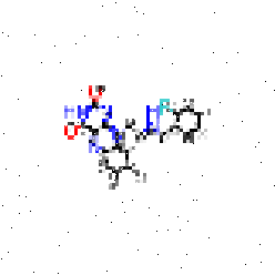 Cc1cc2nc3c(=O)[nH]c(=O)nc-3n(CCNCc3ccccc3F)c2cc1C